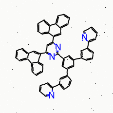 c1ccc(-c2cccc(-c3cc(-c4cccc(-c5ccccn5)c4)cc(-c4nc(-c5cc6ccccc6c6ccccc56)cc(-c5cc6ccccc6c6ccccc56)n4)c3)c2)nc1